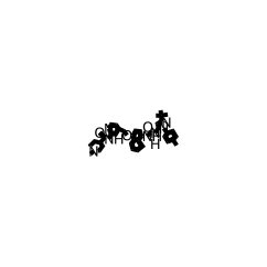 Cc1ccc(-n2nc(C(C)(C)C)cc2NC(=O)Nc2ccc(OCc3ccnc(NC(=O)C4CCN(C)CC4)c3)c3ccccc23)cc1